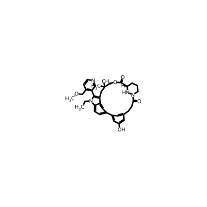 CCn1c(-c2cnccc2COC)c2c3cc(ccc31)-c1cc(O)cc(c1)CCC(=O)N1CCC[C@H](N1)C(=O)OCC(C)(C)C2